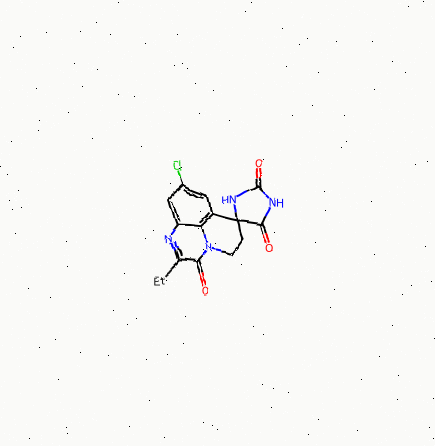 CCc1nc2cc(Cl)cc3c2n(c1=O)CCC31NC(=O)NC1=O